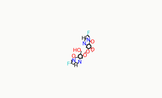 COc1cc2c(cc1OCOc1cc3c(cc1CO)C(=O)N1C=C(F)C[C@H]1C=N3)N=C[C@@H]1CC(F)=CN1C2=O